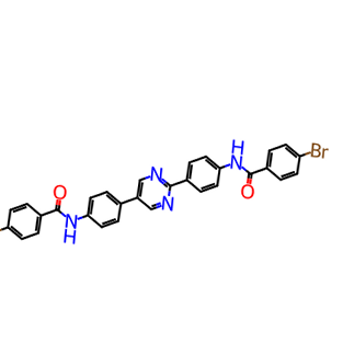 O=C(Nc1ccc(-c2cnc(-c3ccc(NC(=O)c4ccc(Br)cc4)cc3)nc2)cc1)c1ccc(Br)cc1